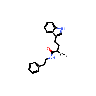 C[C](CCc1c[nH]c2ccccc12)C(=O)NCCc1ccccc1